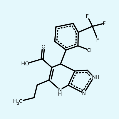 CCCC1=C(C(=O)O)C(c2cccc(C(F)(F)F)c2Cl)c2c[nH]nc2N1